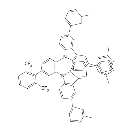 Cc1cccc(-c2ccc3c(c2)c2cc(-c4cccc(C)c4)ccc2n3-c2ccc(-c3c(C(F)(F)F)cccc3C(F)(F)F)cc2-n2c3ccc(-c4cccc(C)c4)cc3c3cc(-c4cccc(C)c4)ccc32)c1